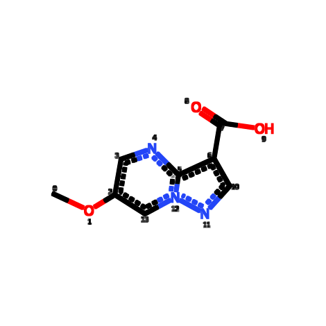 COc1cnc2c(C(=O)O)cnn2c1